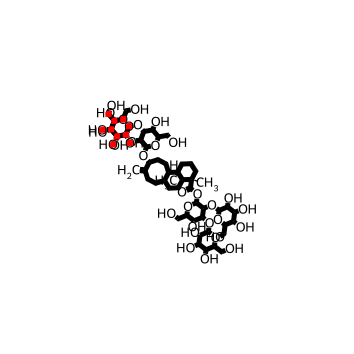 C=C1CCC2CCC3[C@](C)(C(=O)OC4OC(CO)C(O)C(OC5OC(CO)C(O)C(O)C5O)C4OC4OC(CO)C(O)C(O)C4O)CCC[C@@]3(C)[C@@H]2CCC1OC1OC(CO)C(O)C(OC2OC(CO)C(O)C(O)C2O)C1OC1OC(CO)C(O)C(O)C1O